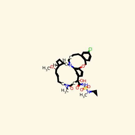 CO[C@H]1/C=C/CCN(C)C(=O)C[C@](O)(C(=O)NS(=O)(=O)N(C)C2CC2)c2ccc3c(c2)N(CCCCc2cc(Cl)ccc2CO3)C[C@@H]2CC[C@H]21